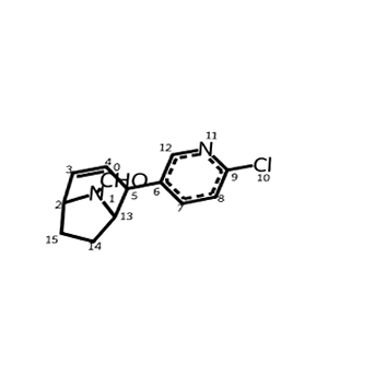 O=CN1C2C=CC(c3ccc(Cl)nc3)C1CC2